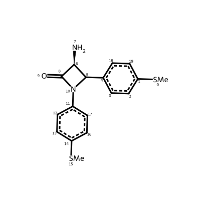 CSc1ccc(C2[C@H](N)C(=O)N2c2ccc(SC)cc2)cc1